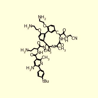 Cc1nc(-c2ccc(C(C)(C)C)cc2)c(N)cc1C(=O)NC(CCN)C(=O)N(C)C1C(=O)NC(C)C(=O)NC(C(=O)NCC#N)Cc2ccc(OCCN)c(c2)-c2cc1ccc2OCCN